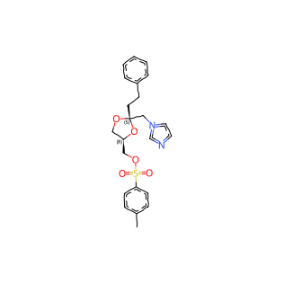 Cc1ccc(S(=O)(=O)OC[C@H]2CO[C@](CCc3ccccc3)(Cn3ccnc3)O2)cc1